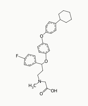 CN(CCC(Oc1ccc(Oc2ccc(C3CCCCC3)cc2)cc1)c1ccc(F)cc1)CC(=O)O